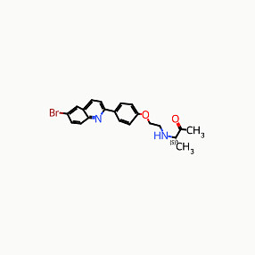 CC(=O)[C@H](C)NCCOc1ccc(-c2ccc3cc(Br)ccc3n2)cc1